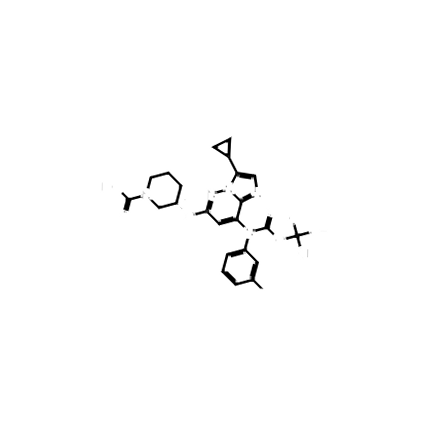 CC(C)(C)OC(=O)N(c1cccc(F)c1)c1cc(O[C@H]2CCCN(C(=O)O)C2)nn2c(C3CC3)cnc12